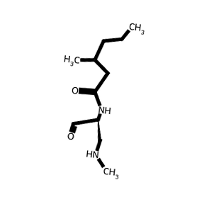 CCCC(C)CC(=O)N[C@H](C=O)CNC